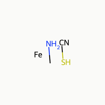 CN.N#CS.[Fe]